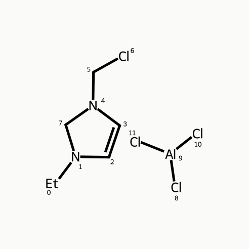 CCN1C=CN(CCl)C1.[Cl][Al]([Cl])[Cl]